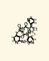 CC[C@@H](NC(=O)N1C(=O)[C@H](Cc2ccnc(N)c2)[C@H]1C(=O)N(C)c1ccncc1)c1cccnc1